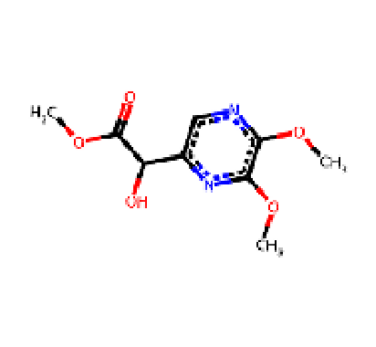 COC(=O)C(O)c1cnc(OC)c(OC)n1